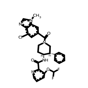 Cn1cnc2c(Cl)cc(C(=O)N3CC[C@@H](NC(=O)c4ncccc4OC(F)F)[C@@H](c4ccccc4)C3)cc21